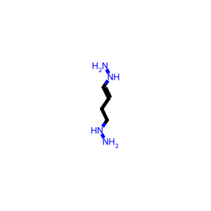 NNC=CCCNN